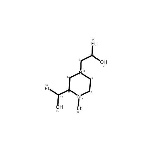 CCC(O)CN1CCN(CC)C(C(O)CC)C1